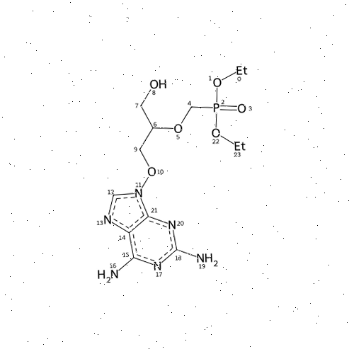 CCOP(=O)(COC(CO)COn1cnc2c(N)nc(N)nc21)OCC